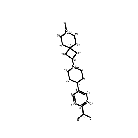 CC(C)c1ncc(C2CCN(C3CC4(CCN(C)CC4)C3)CC2)cn1